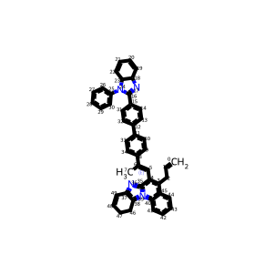 C=CCc1c(/C=C(\C)c2ccc(-c3ccc(C4=NC5C=CC=CC5N4c4ccccc4)cc3)cc2)c2nc3c(n2c2ccccc12)CCC=C3